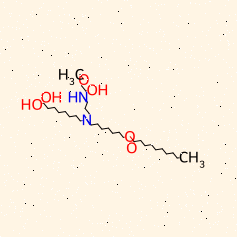 CCCCCCCCCC(=O)OCCCCCCCN(CCCCCCCC(O)O)CCCNC(O)COC